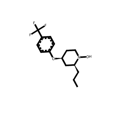 CCC[C@H]1C[C@@H](Oc2ccc(C(F)(F)F)cc2)CCN1O